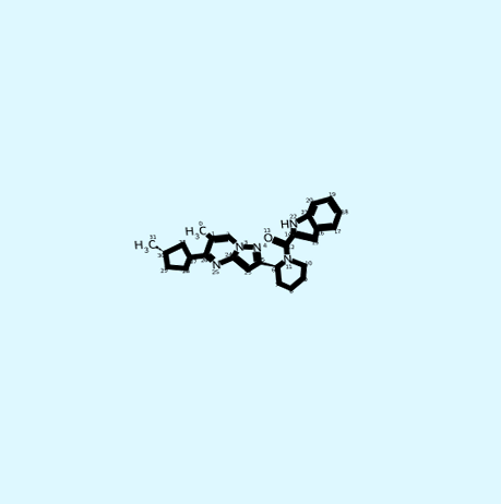 Cc1cn2nc([C@@H]3CCCCN3C(=O)c3cc4ccccc4[nH]3)cc2nc1C1CC[C@H](C)C1